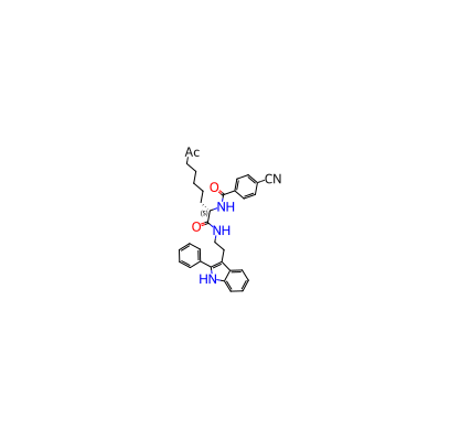 CC(=O)CCCCC[C@H](NC(=O)c1ccc(C#N)cc1)C(=O)NCCc1c(-c2ccccc2)[nH]c2ccccc12